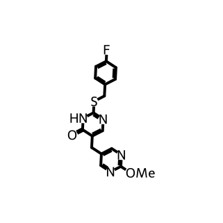 COc1ncc(Cc2cnc(SCc3ccc(F)cc3)[nH]c2=O)cn1